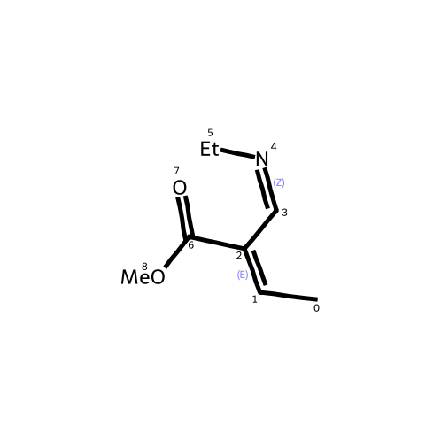 C/C=C(\C=N/CC)C(=O)OC